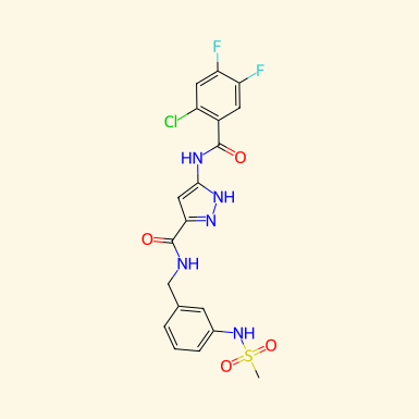 CS(=O)(=O)Nc1cccc(CNC(=O)c2cc(NC(=O)c3cc(F)c(F)cc3Cl)[nH]n2)c1